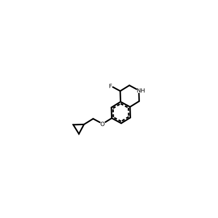 FC1CNCc2ccc(OCC3CC3)cc21